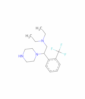 CCN(CC)CC(c1ccccc1C(F)(F)F)N1CCNCC1